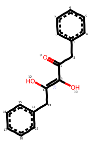 O=C(Cc1ccccc1)/C(O)=C(\O)Cc1ccccc1